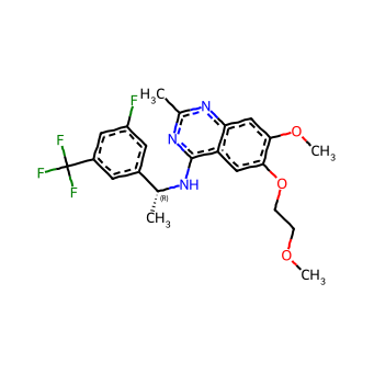 COCCOc1cc2c(N[C@H](C)c3cc(F)cc(C(F)(F)F)c3)nc(C)nc2cc1OC